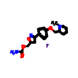 C[n+]1ccccc1COc1ccc(-c2cc(COC(N)=O)on2)cc1.[I-]